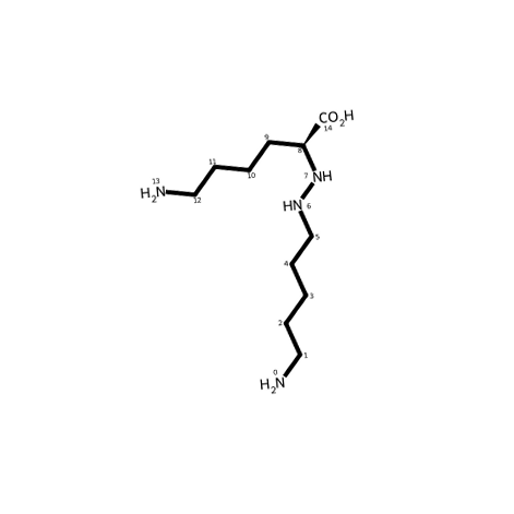 NCCCCCNN[C@@H](CCCCN)C(=O)O